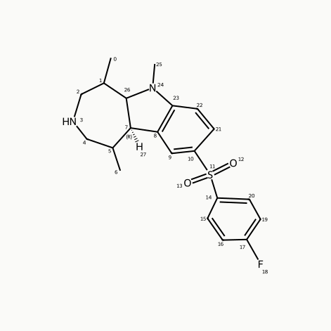 CC1CNCC(C)[C@@H]2c3cc(S(=O)(=O)c4ccc(F)cc4)ccc3N(C)C12